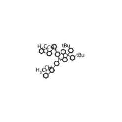 CC(C)(C)c1cccc(C2(c3cccc(C(C)(C)C)c3)c3ccccc3-c3c(N(c4ccc(-c5ccc6c(c5)C(C)(C)c5ccccc5-6)cc4)c4ccc(-c5ccccc5-c5cccc6c5C(C)(C)c5ccccc5-6)cc4)cccc32)c1